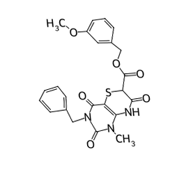 COc1cccc(COC(=O)C2Sc3c(n(C)c(=O)n(Cc4ccccc4)c3=O)NC2=O)c1